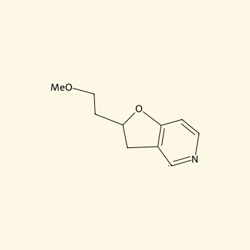 COCCC1Cc2[c]nccc2O1